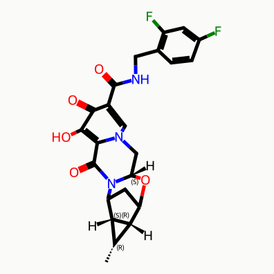 C[C@H]1[C@H]2C3CC([C@@H]12)N1C(=O)c2c(O)c(=O)c(C(=O)NCc4ccc(F)cc4F)cn2C[C@@H]1O3